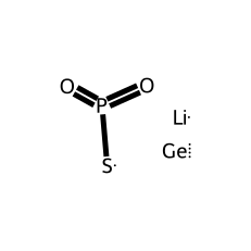 O=P(=O)[S].[Ge].[Li]